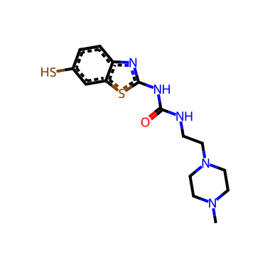 CN1CCN(CCNC(=O)Nc2nc3ccc(S)cc3s2)CC1